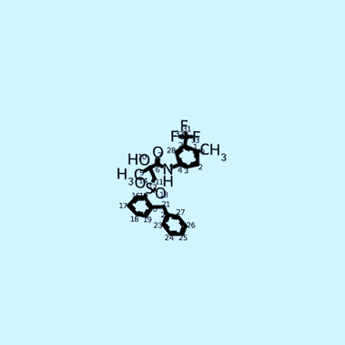 Cc1ccc(NC(=O)C(C)(O)CS(=O)(=O)c2ccccc2Cc2ccccc2)cc1C(F)(F)F